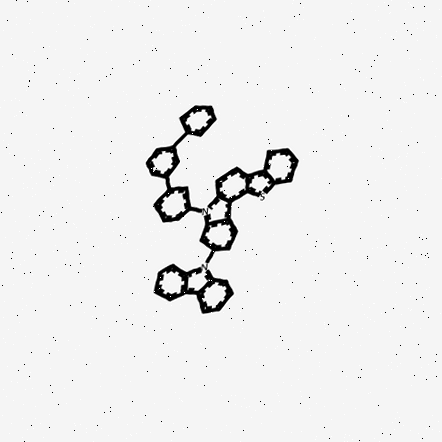 c1ccc(-c2cccc(-c3cccc(-n4c5cc(-n6c7ccccc7c7ccccc76)ccc5c5c6sc7ccccc7c6ccc54)c3)c2)cc1